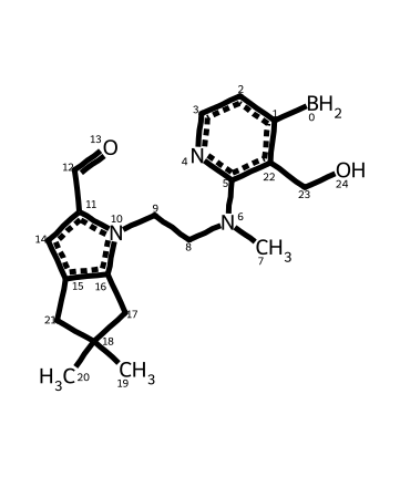 Bc1ccnc(N(C)CCn2c(C=O)cc3c2CC(C)(C)C3)c1CO